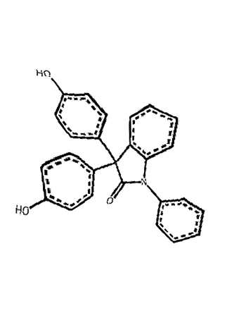 O=C1N(c2ccccc2)c2ccccc2C1(c1ccc(O)cc1)c1ccc(O)cc1